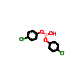 OB(Oc1ccc(Cl)cc1)Oc1ccc(Cl)cc1